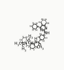 Cc1ccc(CN2C(C)(C)CCCC2(C)C)cc1NC(=O)c1ccc(Nc2nc(-c3ccccc3)c3c(n2)=CCCC=3)cc1